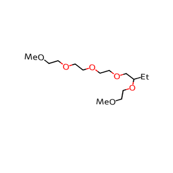 CCC(COCCOCCOCCOC)OCCOC